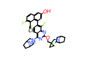 C#Cc1c(F)ccc2cc(O)cc(-c3c(F)cc4c(N5CC6CCC(C5)N6)nc(OCC5(CN6C7CCC6C(F)C7)CC5)nc4c3F)c12